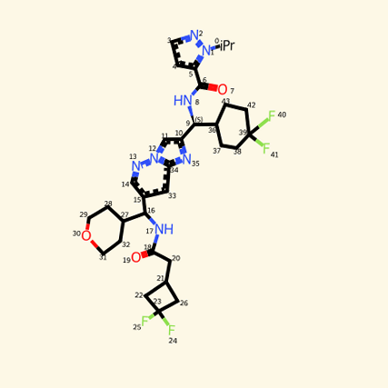 CC(C)n1nccc1C(=O)N[C@H](c1cn2ncc(C(NC(=O)CC3CC(F)(F)C3)C3CCOCC3)cc2n1)C1CCC(F)(F)CC1